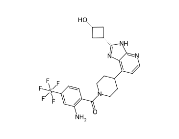 Nc1cc(S(F)(F)(F)(F)F)ccc1C(=O)N1CCC(c2ccnc3[nH]c([C@H]4C[C@@H](O)C4)nc23)CC1